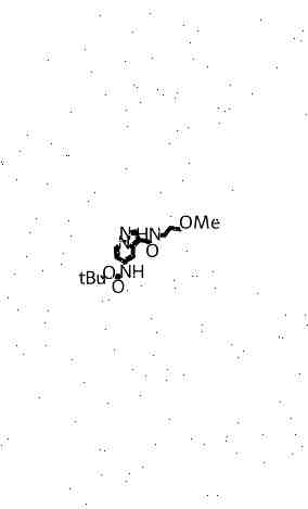 COCCCNC(=O)c1cnn2ccc(NC(=O)OC(C)(C)C)cc12